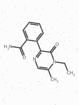 CCn1c(C)cnc(-c2ccccc2C(N)=O)c1=O